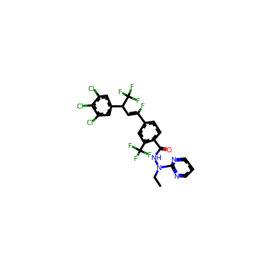 CCN(NC(=O)c1ccc(/C(F)=C/C(c2cc(Cl)c(Cl)c(Cl)c2)C(F)(F)F)cc1C(F)(F)F)c1ncccn1